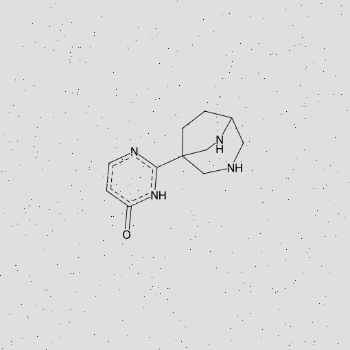 O=c1ccnc(C23CCC(CNC2)NC3)[nH]1